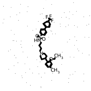 CCOc1cc(C)ccc1C1CCN(CCCCNS(=O)(=O)c2ccc(-c3ccc(C(F)(F)F)cc3)cc2)CC1